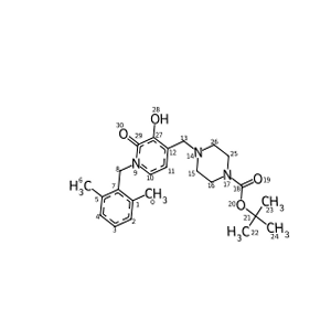 Cc1cccc(C)c1Cn1ccc(CN2CCN(C(=O)OC(C)(C)C)CC2)c(O)c1=O